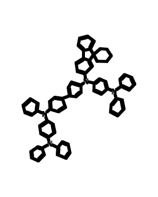 c1ccc(N(c2ccccc2)c2ccc(N(c3ccccc3)c3ccc(-c4ccc(N(c5ccc(N(c6ccccc6)c6ccccc6)cc5)c5ccc6c(c5)C5(CCCCC5)c5ccccc5-6)cc4)cc3)cc2)cc1